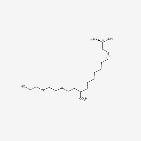 CCCCCC[C@@H](O)C/C=C\CCCCCCC(CCOCCOCCO)C(=O)O